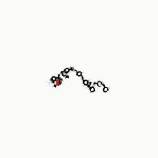 CC(C)(C)OC(=O)N(Cc1ccc(C(=O)NCc2ccc(COc3ccc(C(O)(C(=O)OCC4CCN(Cc5ccccc5)CC4)c4ccccc4)cc3)cc2)cc1)CC(O[Si](C)(C)C(C)(C)C)c1ccc(O)c2[nH]c(=O)ccc12